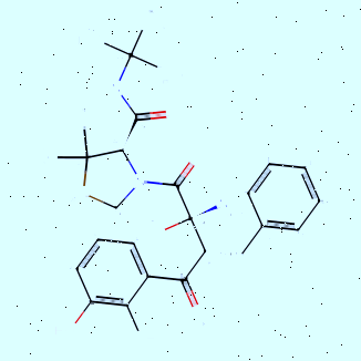 Cc1c(O)cccc1C(=O)[C@@H](Cc1ccccc1)[C@](N)(O)C(=O)N1CSC(C)(C)[C@H]1C(=O)NC(C)(C)C